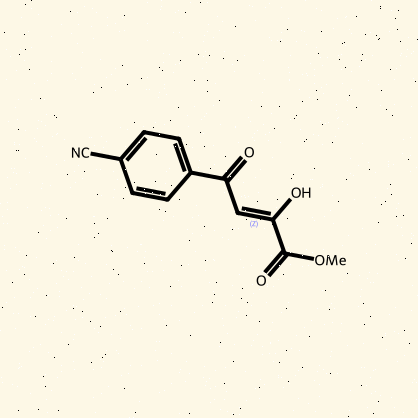 COC(=O)/C(O)=C/C(=O)c1ccc(C#N)cc1